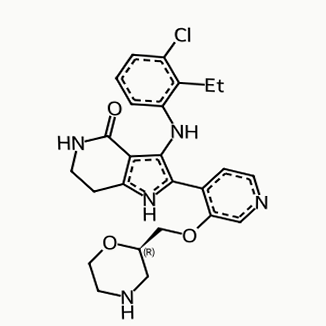 CCc1c(Cl)cccc1Nc1c(-c2ccncc2OC[C@H]2CNCCO2)[nH]c2c1C(=O)NCC2